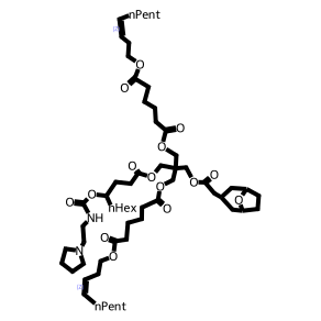 CCCCC/C=C\CCOC(=O)CCCCC(=O)OCC(COC(=O)CCCCC(=O)OCC/C=C\CCCCC)(COC(=O)CCC(CCCCCC)OC(=O)NCCN1CCCC1)COC(=O)CC1CC2CCC(C1)O2